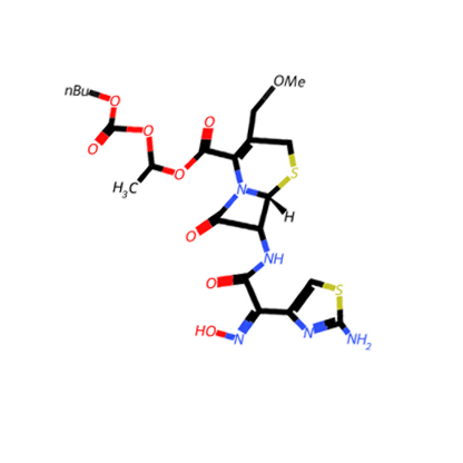 CCCCOC(=O)OC(C)OC(=O)C1=C(COC)CS[C@@H]2C(NC(=O)/C(=N\O)c3csc(N)n3)C(=O)N12